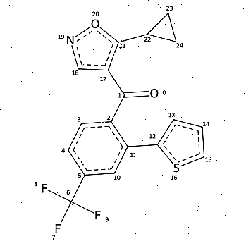 O=C(c1ccc(C(F)(F)F)cc1-c1cccs1)c1cnoc1C1CC1